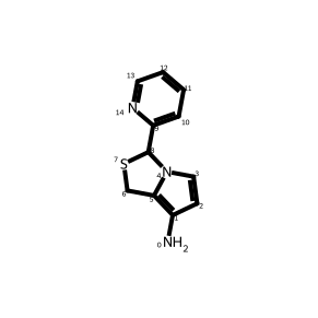 Nc1ccn2c1CSC2c1ccccn1